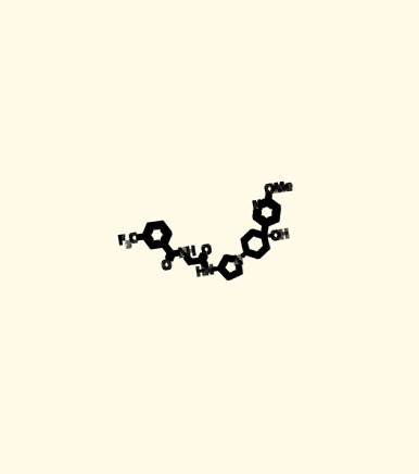 COc1ccc([C@]2(O)CC[C@@H](N3CC[C@@H](NC(=O)CNC(=O)c4cccc(C(F)(F)F)c4)C3)CC2)cn1